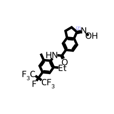 CCc1cc(C(F)(C(F)(F)F)C(F)(F)F)cc(C)c1NC(=O)c1ccc2c(c1)CC/C2=N/O